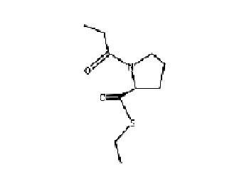 CCSC(=O)[C@@H]1CCCN1C(=O)CC